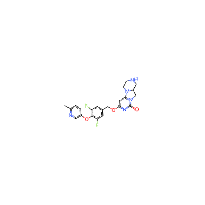 Cc1ccc(Oc2c(F)cc(COc3cc4n(c(=O)n3)CC3CNCCN43)cc2F)cn1